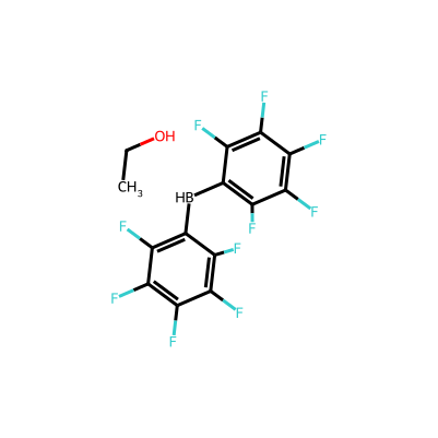 CCO.Fc1c(F)c(F)c(Bc2c(F)c(F)c(F)c(F)c2F)c(F)c1F